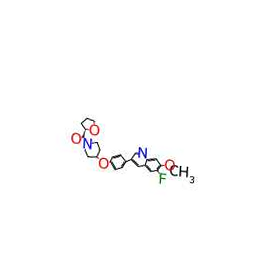 COc1cc2ncc(-c3ccc(OC4CCN(C(=O)[C@H]5CCCO5)CC4)cc3)cc2cc1F